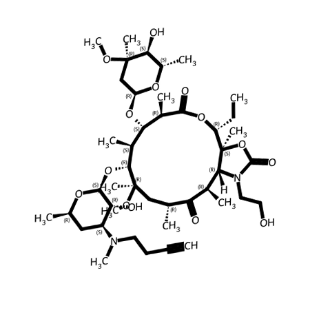 C#CCCN(C)[C@H]1C[C@@H](C)O[C@@H](O[C@@H]2[C@@H](C)[C@H](O[C@H]3C[C@@](C)(OC)[C@@H](O)[C@H](C)O3)[C@@H](C)C(=O)O[C@H](CC)[C@@]3(C)OC(=O)N(CCO)[C@@H]3[C@@H](C)C(=O)[C@H](C)C[C@@]2(C)OC)[C@@H]1O